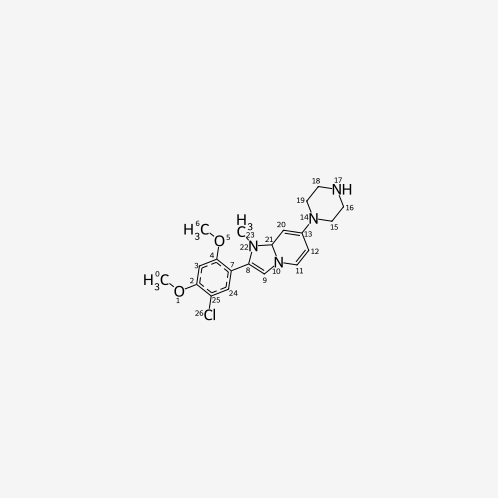 COc1cc(OC)c(C2=CN3C=CC(N4CCNCC4)=CC3N2C)cc1Cl